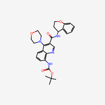 CC(C)(C)OC(=O)Nc1cccc2c(N3CCOCC3)c(C(=O)NC3CCOc4ccccc43)cnc12